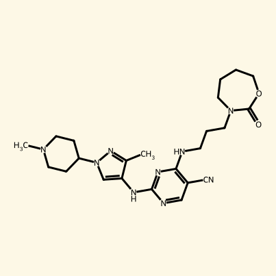 Cc1nn(C2CCN(C)CC2)cc1Nc1ncc(C#N)c(NCCCN2CCCCOC2=O)n1